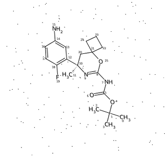 CC(C)(C)OC(=O)NC1=N[C@@](C)(c2cc(N)ccc2F)CC2(CCC2)O1